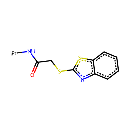 CC(C)NC(=O)CSc1nc2ccccc2s1